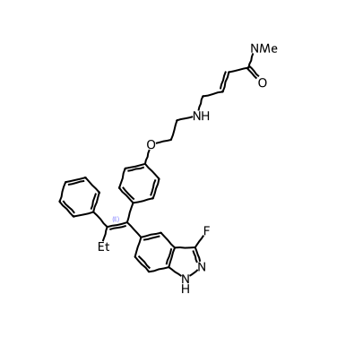 CC/C(=C(/c1ccc(OCCNCC=CC(=O)NC)cc1)c1ccc2[nH]nc(F)c2c1)c1ccccc1